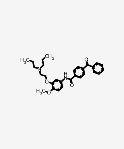 CCCN(CCC)CCOc1cc(NC(=O)c2ccc(C(=O)c3ccccc3)cc2)ccc1OC